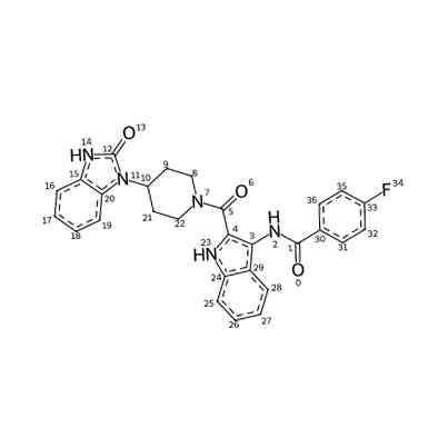 O=C(Nc1c(C(=O)N2CCC(n3c(=O)[nH]c4ccccc43)CC2)[nH]c2ccccc12)c1ccc(F)cc1